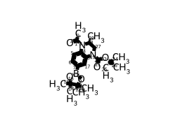 CC(=O)N1c2ccc(B3OC(C)(C)C(C)(C)O3)cc2N(C(=O)OC(C)(C)C)C[C@@H]1C